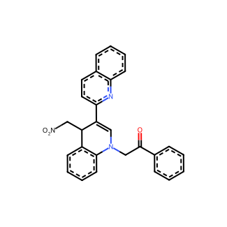 O=C(CN1C=C(c2ccc3ccccc3n2)C(C[N+](=O)[O-])c2ccccc21)c1ccccc1